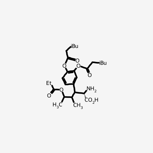 CCC(=O)OC(C)C(C)C(c1ccc(OC(=O)CC(C)CC)c(OC(=O)CC(C)CC)c1)[C@H](N)C(=O)O